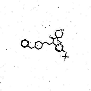 COC1(C(=O)N(CCC2CCN(Cc3ccccc3)CC2)c2ccc(OC(F)(F)F)cn2)CCNCC1